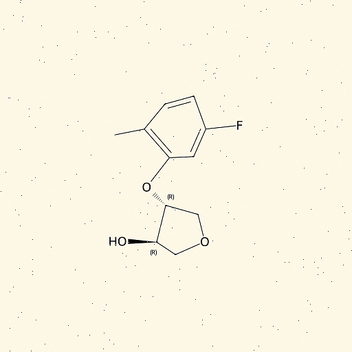 Cc1ccc(F)cc1O[C@@H]1COC[C@H]1O